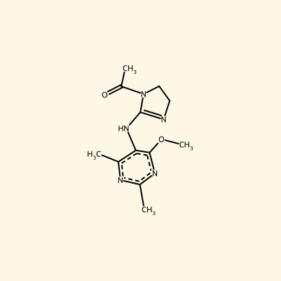 COc1nc(C)nc(C)c1NC1=NCCN1C(C)=O